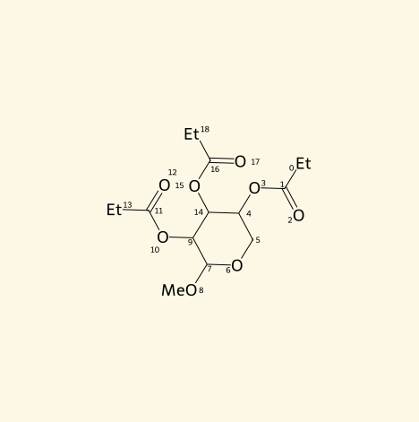 CCC(=O)OC1COC(OC)C(OC(=O)CC)C1OC(=O)CC